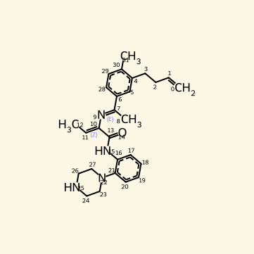 C=CCCc1cc(/C(C)=N/C(=C\C)C(=O)Nc2ccccc2N2CCNCC2)ccc1C